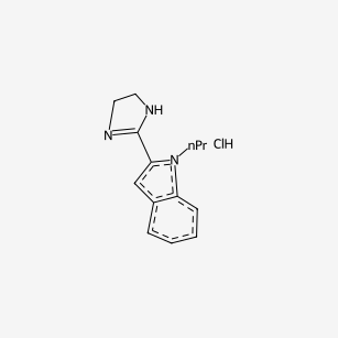 CCCn1c(C2=NCCN2)cc2ccccc21.Cl